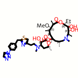 CC[C@H]1OC(=O)[C@H](C)[C@@H](OC)[C@H](C)[C@@H](O[C@@H]2O[C@H](C)C[C@H](N(C)CCc3csc(Cc4ccc(-n5ccnn5)cc4)n3)[C@H]2O)[C@](C)(O)C[C@@H](C)CN(C)[C@H](C)[C@@H](O)[C@]1(C)O